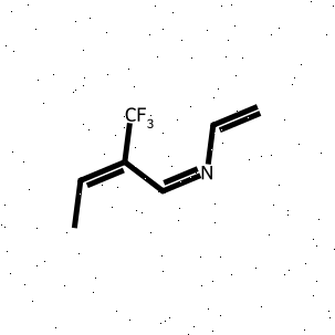 C=C/N=C\C(=C/C)C(F)(F)F